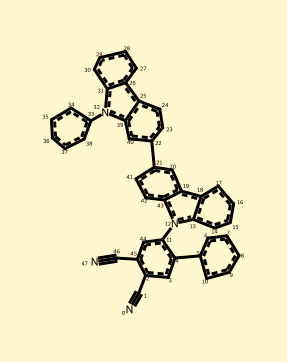 N#Cc1cc(-c2ccccc2)c(-n2c3ccccc3c3cc(-c4ccc5c6ccccc6n(-c6ccccc6)c5c4)ccc32)cc1C#N